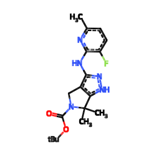 Cc1ccc(F)c(Nc2n[nH]c3c2CN(C(=O)OC(C)(C)C)C3(C)C)n1